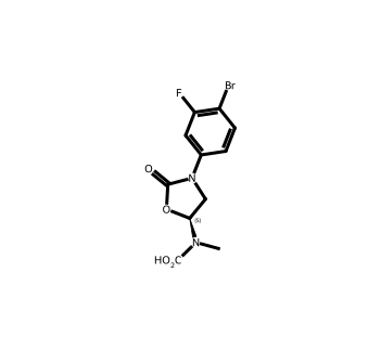 CN(C(=O)O)[C@@H]1CN(c2ccc(Br)c(F)c2)C(=O)O1